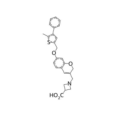 Cc1sc(COc2ccc3c(c2)OCC(CN2CC(C(=O)O)C2)=C3)cc1-c1ccccc1